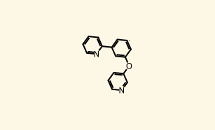 [c]1cc(Oc2cccnc2)cc(-c2ccccn2)c1